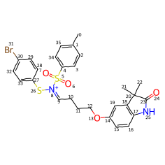 Cc1ccc(S(=O)(=O)[N+](=CCCCOc2ccc3c(c2)C(C)(C)C(=O)N3)Sc2ccc(Br)cc2)cc1